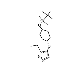 CCn1nncc1O[C@H]1CC[C@H](O[Si](C)(C)C(C)(C)C)CC1